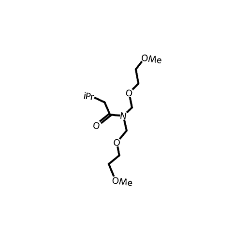 COCCOCN(COCCOC)C(=O)CC(C)C